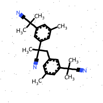 Cc1cc(CC(C)(C#N)c2cc(C)cc(C(C)(C)C#N)c2)cc(C(C)(C)C#N)c1